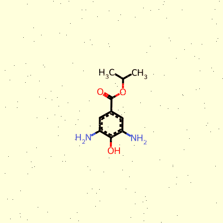 CC(C)OC(=O)c1cc(N)c(O)c(N)c1